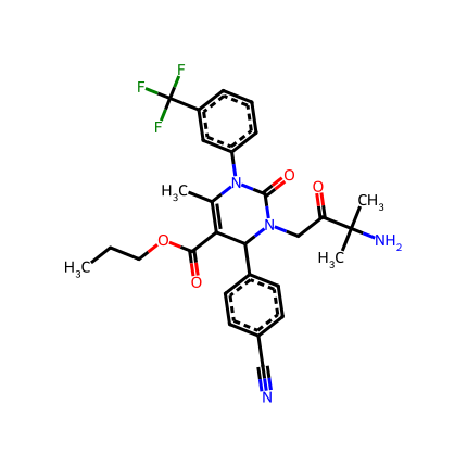 CCCOC(=O)C1=C(C)N(c2cccc(C(F)(F)F)c2)C(=O)N(CC(=O)C(C)(C)N)C1c1ccc(C#N)cc1